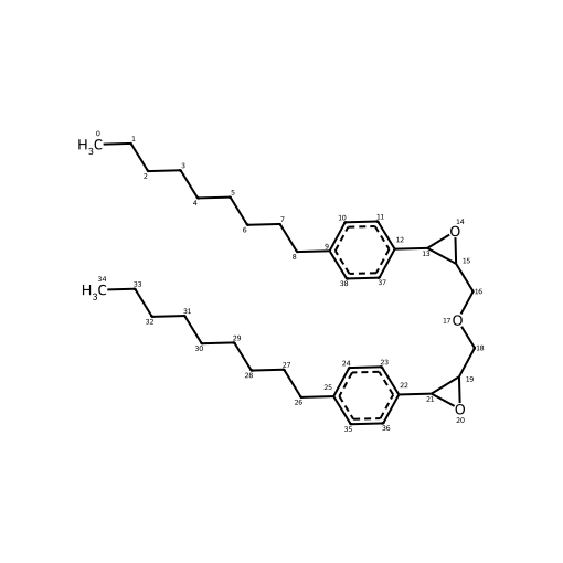 CCCCCCCCCc1ccc(C2OC2COCC2OC2c2ccc(CCCCCCCCC)cc2)cc1